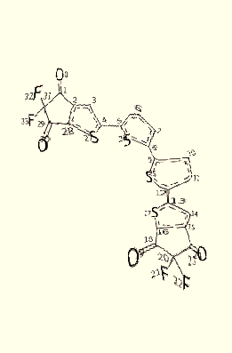 O=C1c2cc(-c3ccc(-c4ccc(-c5cc6c(s5)C(=O)C(F)(F)C6=O)s4)s3)sc2C(=O)C1(F)F